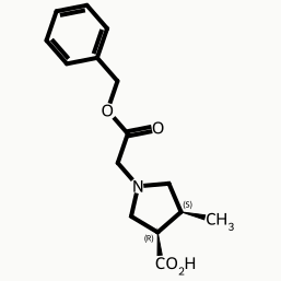 C[C@@H]1CN(CC(=O)OCc2ccccc2)C[C@@H]1C(=O)O